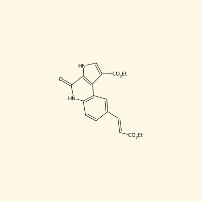 CCOC(=O)/C=C/c1ccc2[nH]c(=O)c3[nH]cc(C(=O)OCC)c3c2c1